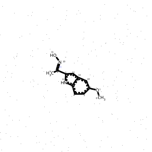 COc1ccc2[nH]c(/C(C)=N/O)cc2c1